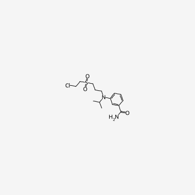 CC(C)N(CCCS(=O)(=O)CCCl)c1cccc(C(N)=O)c1